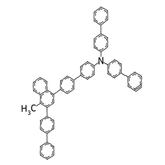 Cc1c(-c2ccc(-c3ccccc3)cc2)cc(-c2ccc(-c3ccc(N(c4ccc(-c5cc#ccc5)cc4)c4ccc(-c5ccccc5)cc4)cc3)cc2)c2ccccc12